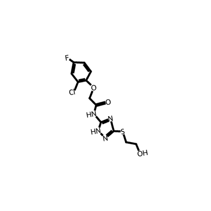 O=C(COc1ccc(F)cc1Cl)Nc1nc(SCCO)n[nH]1